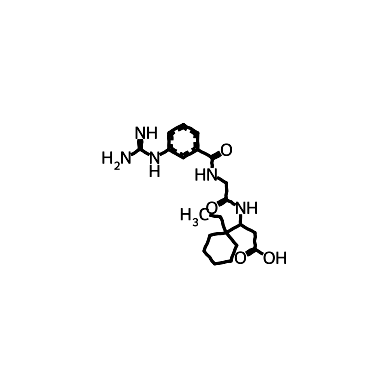 CCC1(C(CC(=O)O)NC(=O)CNC(=O)c2cccc(NC(=N)N)c2)CCCCC1